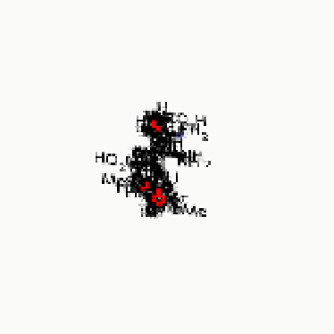 C=C/C=C\c1c[nH]cc1CC(NC(=O)C(CCCNC(=N)N)NC(=O)C(Cc1ccccc1)NC(=O)C(Cc1c[nH]cn1)NC(=O)C(CCC(=O)O)NC(=O)C(CCSC)NC(=O)C(CO)NC(=O)C(Cc1ccc(O)cc1)NC(=O)C(CO)NC(=O)CN(C(=O)CN(Cc1ccccc1)C(=O)CN(CCOC)C(C)=O)c1ccccc1)C(=O)NC(CCCCN)C(=O)N1CCCC1C(=O)NC(C(=O)NCC(=O)O)C(C)C